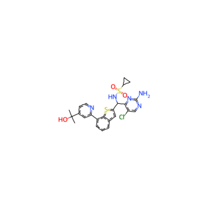 CC(C)(O)c1ccnc(-c2cccc3cc(C(NS(=O)(=O)C4CC4)c4nc(N)ncc4Cl)sc23)c1